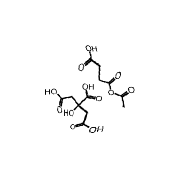 CC(=O)OC(=O)CCC(=O)O.O=C(O)CC(O)(CC(=O)O)C(=O)O